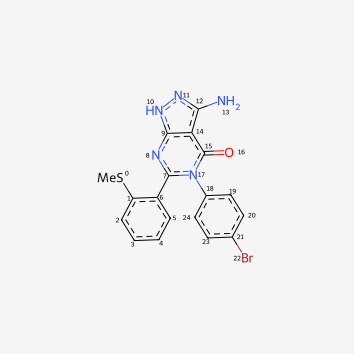 CSc1ccccc1-c1nc2[nH]nc(N)c2c(=O)n1-c1ccc(Br)cc1